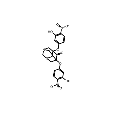 O=C1C2(Oc3ccc([N+](=O)[O-])c(O)c3)CN3CN(C2)CC1(Oc1ccc([N+](=O)[O-])c(O)c1)C3